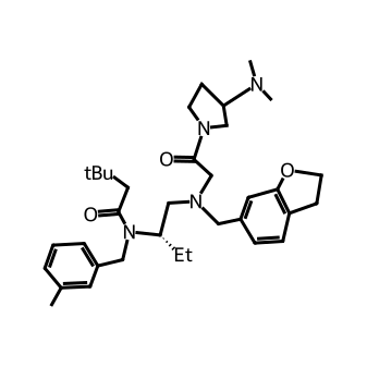 CC[C@@H](CN(CC(=O)N1CCC(N(C)C)C1)Cc1ccc2c(c1)OCC2)N(Cc1cccc(C)c1)C(=O)CC(C)(C)C